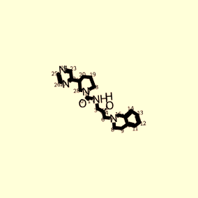 O=C(NC[C@H](O)CN1CCc2ccccc2C1)N1CCCC(c2cnccn2)C1